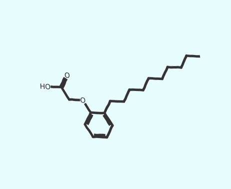 CCCCCCCCCCc1ccccc1OCC(=O)O